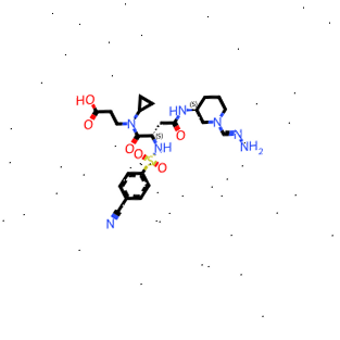 N#Cc1ccc(S(=O)(=O)N[C@@H](CC(=O)N[C@H]2CCCN(C=NN)C2)C(=O)N(CCC(=O)O)C2CC2)cc1